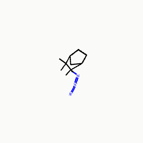 CC1(C)C2CCC(C2)C1(C)N=[N+]=[N-]